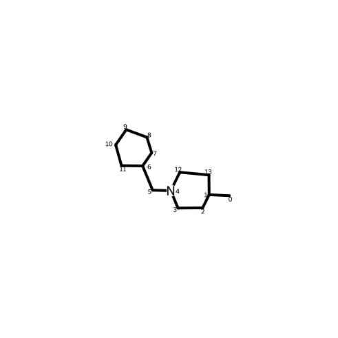 CC1CCN(CC2CCCCC2)CC1